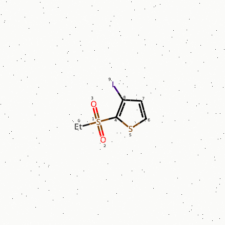 CCS(=O)(=O)c1sccc1I